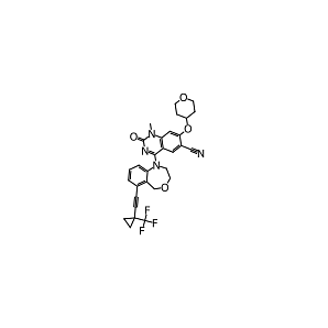 Cn1c(=O)nc(N2CCOCc3c(C#CC4(C(F)(F)F)CC4)cccc32)c2cc(C#N)c(OC3CCOCC3)cc21